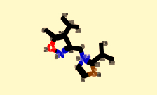 Cc1onc(C[n+]2ccsc2C(C)C)c1C(C)C